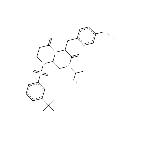 COc1ccc(CC2C(=O)N(C(C)C)CC3N2C(=O)CCN3S(=O)(=O)c2cccc(C(F)(F)F)c2)cc1